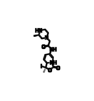 C/C=C(\C=C/C1NC(=O)O[C@@]1(C)I)NC(=O)CN1CCN[C@H](C)C1